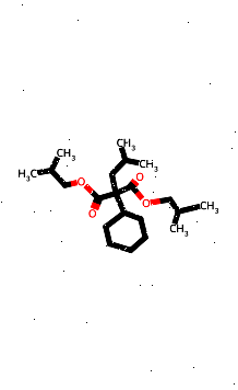 CC(C)COC(=O)C(CC(C)C)(C(=O)OCC(C)C)C1CCCCC1